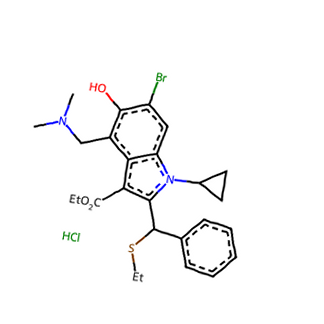 CCOC(=O)c1c(C(SCC)c2ccccc2)n(C2CC2)c2cc(Br)c(O)c(CN(C)C)c12.Cl